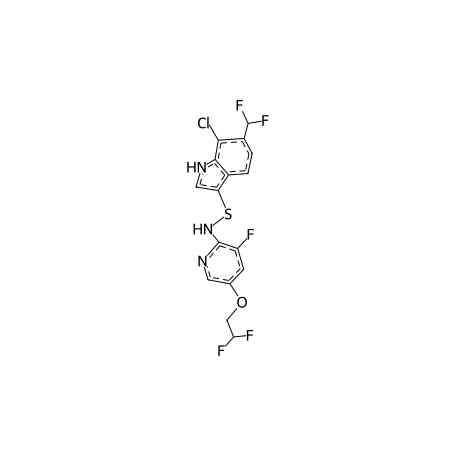 Fc1cc(OCC(F)F)cnc1NSc1c[nH]c2c(Cl)c(C(F)F)ccc12